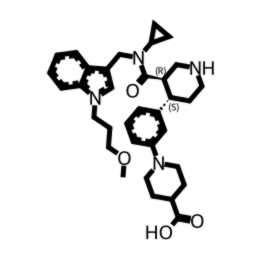 COCCCn1cc(CN(C(=O)[C@H]2CNCC[C@@H]2c2cccc(N3CCC(C(=O)O)CC3)c2)C2CC2)c2ccccc21